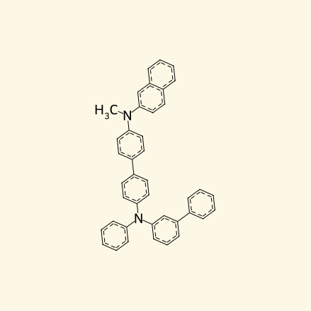 CN(c1ccc(-c2ccc(N(c3ccccc3)c3cccc(-c4ccccc4)c3)cc2)cc1)c1ccc2ccccc2c1